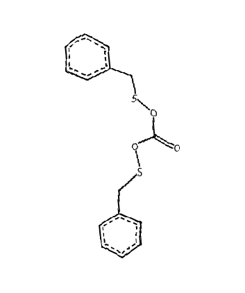 O=C(OSCc1ccccc1)OSCc1ccccc1